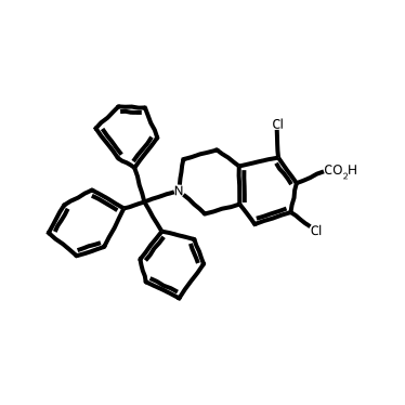 O=C(O)c1c(Cl)cc2c(c1Cl)CCN(C(c1ccccc1)(c1ccccc1)c1ccccc1)C2